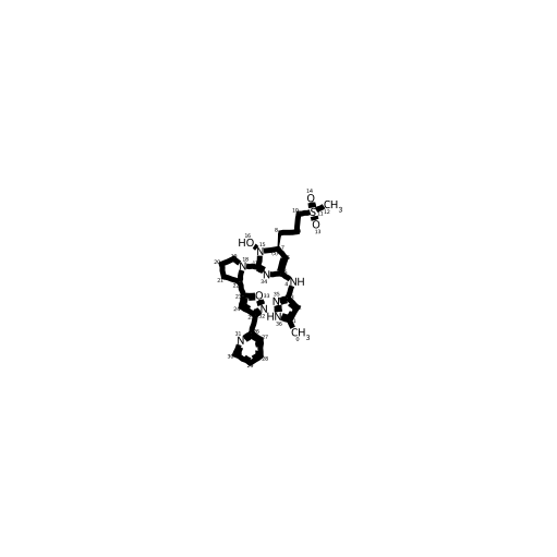 Cc1cc(NC2=C[C@H](CCCS(C)(=O)=O)N(O)C(N3CCCC3c3cc(-c4ccccn4)no3)=N2)n[nH]1